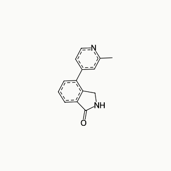 Cc1cc(-c2cccc3c2CNC3=O)ccn1